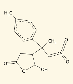 Cc1ccc(C(C)(C=S(=O)=O)C2CC(=O)OC2O)cc1